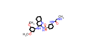 CNCC(=O)Nc1cccc(S(=O)(=O)Nc2nc3ccccc3cc2Nc2cc(OC)cc(OC)c2)c1